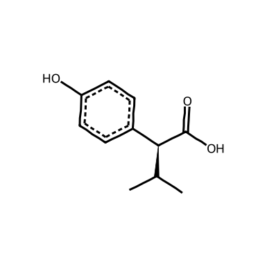 CC(C)[C@H](C(=O)O)c1ccc(O)cc1